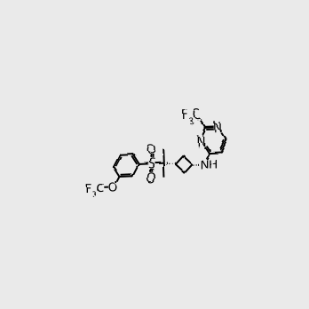 CC(C)([C@H]1C[C@@H](Nc2ccnc(C(F)(F)F)n2)C1)S(=O)(=O)c1cccc(OC(F)(F)F)c1